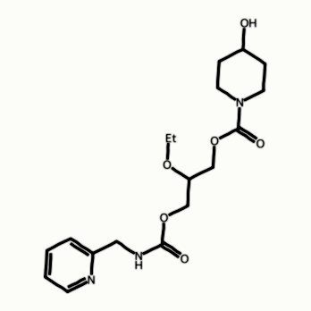 CCOC(COC(=O)NCc1ccccn1)COC(=O)N1CCC(O)CC1